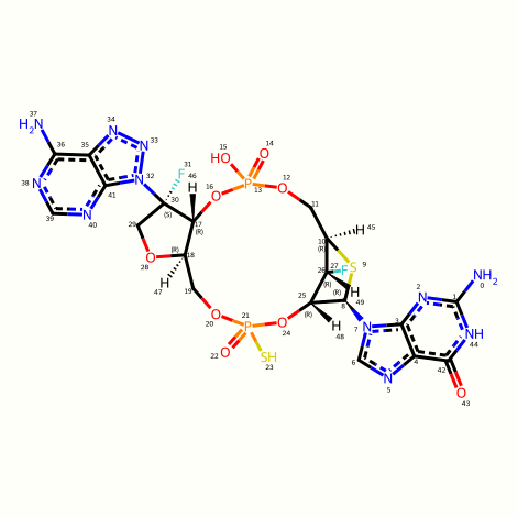 Nc1nc2c(ncn2[C@@H]2S[C@@H]3COP(=O)(O)O[C@@H]4[C@@H](COP(=O)(S)O[C@@H]2[C@H]3F)OC[C@@]4(F)n2nnc3c(N)ncnc32)c(=O)[nH]1